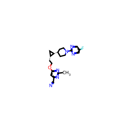 Cc1nc(C#N)cc(OCC[C@@H]2C[C@@H]2C2CCN(c3ncc(F)cn3)CC2)n1